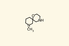 CN1CCCC2(CNCCO2)C1